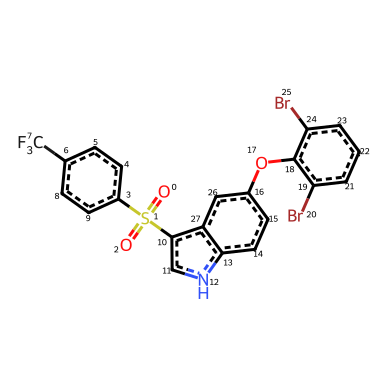 O=S(=O)(c1ccc(C(F)(F)F)cc1)c1c[nH]c2ccc(Oc3c(Br)c[c]cc3Br)cc12